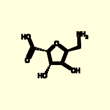 NC[C@@H]1O[C@@H](C(=O)O)[C@@H](O)C1O